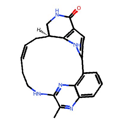 Cc1nc2cccc3c2nc1NCC/C=C\C[C@H]1CNC(=O)c2cc-3[nH]c21